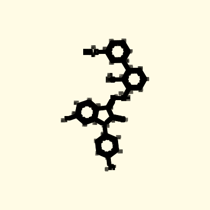 CC(C)c1ccc(N2C(=O)C(=NNc3cccc(-c4cccc(C(=O)O)c4)c3O)c3ccc(F)cc32)cc1